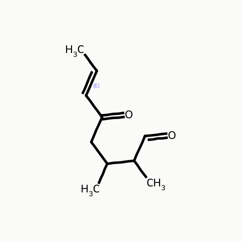 C/C=C/C(=O)CC(C)C(C)C=O